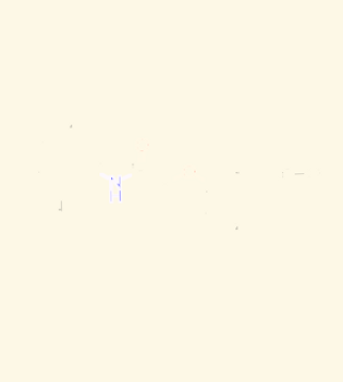 CCc1ccccc1NC(=O)COc1cccc(C=O)c1